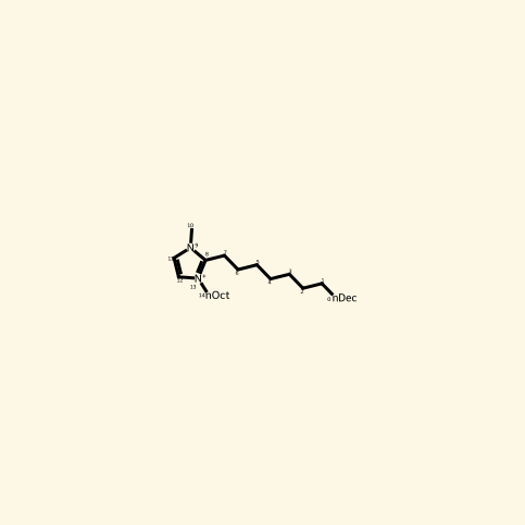 CCCCCCCCCCCCCCCCCc1n(C)cc[n+]1CCCCCCCC